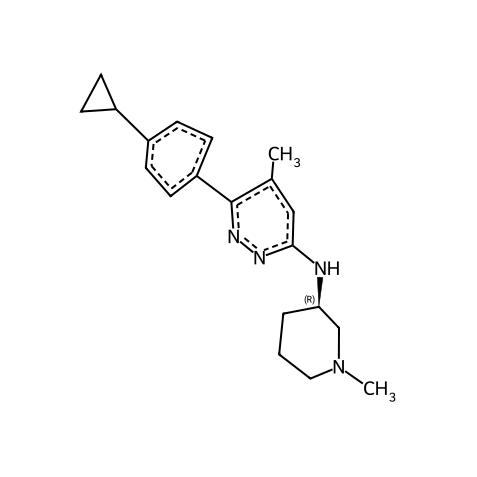 Cc1cc(N[C@@H]2CCCN(C)C2)nnc1-c1ccc(C2CC2)cc1